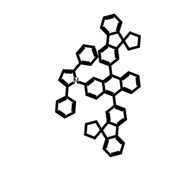 c1ccc(-c2ccc(-c3ccccc3)n2-c2ccc3c(-c4ccc5c(c4)C4(CCCC4)c4ccccc4-5)c4ccccc4c(-c4ccc5c(c4)C4(CCCC4)c4ccccc4-5)c3c2)cc1